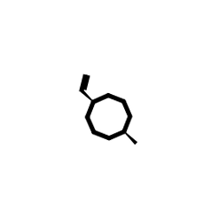 C=C[C@H]1CCC[C@@H](C)CCC1